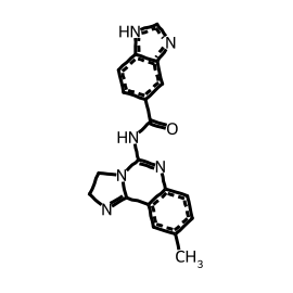 Cc1ccc2c(c1)C1=NCCN1C(NC(=O)c1ccc3[nH]cnc3c1)=N2